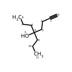 [C]#CCCC(O)(CCC)CCC